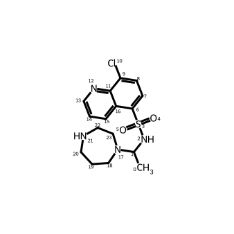 CC(NS(=O)(=O)c1ccc(Cl)c2ncccc12)N1CCCNCC1